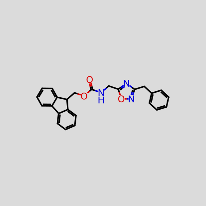 O=C(NCc1nc(Cc2ccccc2)no1)OCC1c2ccccc2-c2ccccc21